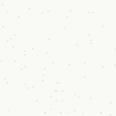 CCOC[C@H](Oc1ccc(OCC(=O)O)c(C)c1)c1cccc(-c2ccc(C(F)(F)F)cc2)n1